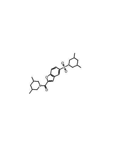 CC1CC(C)CN(C(=O)c2cc3cc(S(=O)(=O)N4CC(C)CC(C)C4)ccc3o2)C1